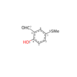 CSc1ccc(O)c(C=O)c1